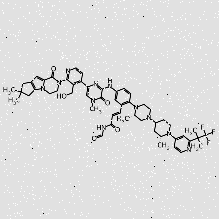 C[C@@H]1CC(N2CCN(c3ccc(Nc4nc(-c5ccnc(N6CCn7c(cc8c7CC(C)(C)C8)C6=O)c5CO)cn(C)c4=O)cc3C=CC(=O)NC=O)[C@@H](C)C2)CCN1c1ccnc(C(C)(C)C(F)(F)F)c1